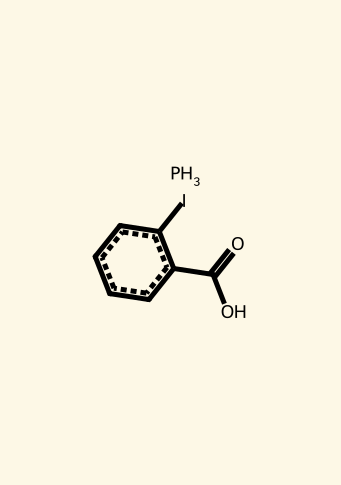 O=C(O)c1ccccc1I.P